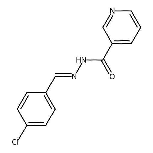 O=C(NN=Cc1ccc(Cl)cc1)c1cccnc1